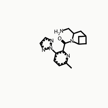 Cc1ccc(-n2nccn2)c(C(=O)N2C(CN)CC3CC2C3)n1